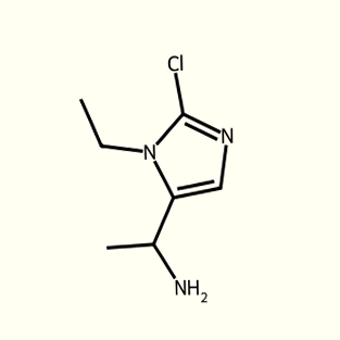 CCn1c(C(C)N)cnc1Cl